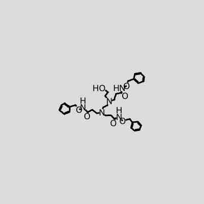 O=C(CCN(CCO)CCN(CCC(=O)NOCc1ccccc1)CCC(=O)NOCc1ccccc1)NOCc1ccccc1